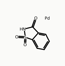 O=C1NS(=O)(=O)c2ccccc21.[Pd]